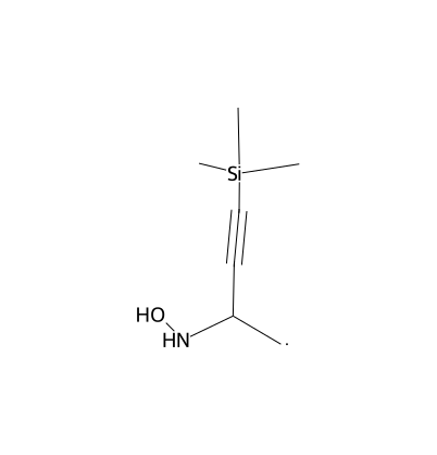 [CH2]C(C#C[Si](C)(C)C)NO